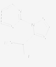 CC(N)c1ncnn1-c1ncccn1